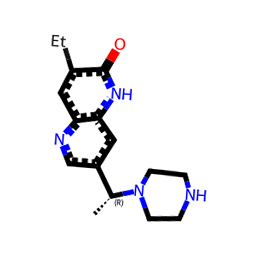 CCc1cc2ncc([C@@H](C)N3CCNCC3)cc2[nH]c1=O